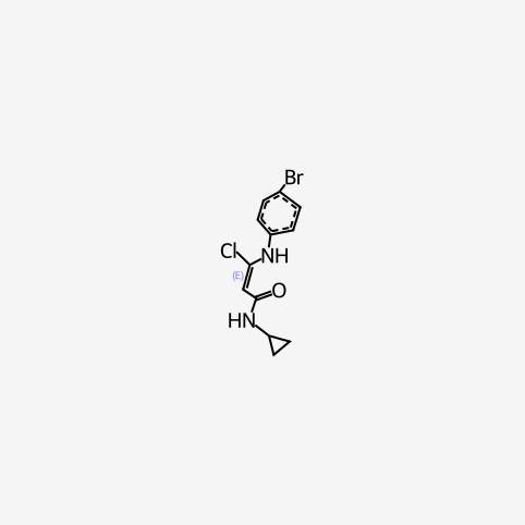 O=C(/C=C(/Cl)Nc1ccc(Br)cc1)NC1CC1